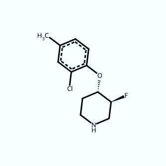 Cc1ccc(O[C@H]2CCNC[C@@H]2F)c(Cl)c1